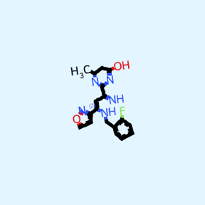 CC1CC(O)=NC(C(=N)/C=C(\NCc2ccccc2F)c2ccon2)=N1